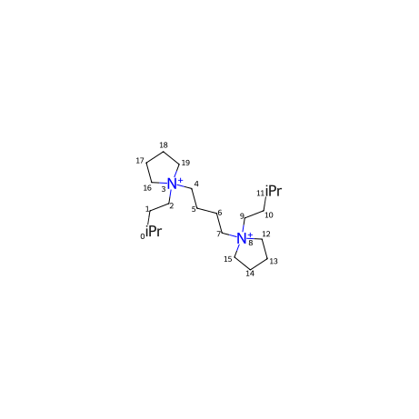 CC(C)CC[N+]1(CCCC[N+]2(CCC(C)C)CCCC2)CCCC1